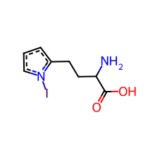 NC(CCc1cccn1I)C(=O)O